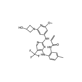 C=CC(=O)Nc1cc(C)ccc1Nc1nc(Nc2cc(OC)nc(N3CC(O)C3)c2)ncc1C(F)(F)F